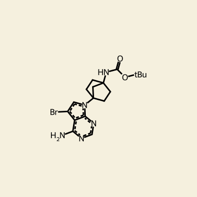 CC(C)(C)OC(=O)NC12CCC(n3cc(Br)c4c(N)ncnc43)(CC1)C2